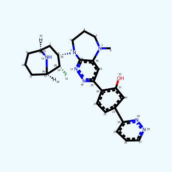 CN1CCCN([C@H]2C[C@@H]3CCC[C@@H](N3)[C@H]2F)c2nnc(-c3ccc(-c4cccnn4)cc3O)cc21